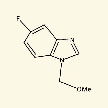 COCn1cnc2cc(F)ccc21